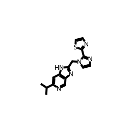 CC(C)c1cc2[nH]c(Cn3ccnc3-c3nccs3)nc2cn1